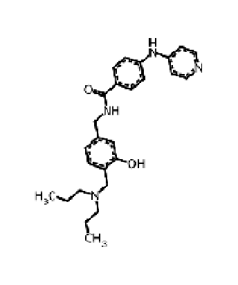 CCCN(CCC)Cc1ccc(CNC(=O)c2ccc(Nc3ccncc3)cc2)cc1O